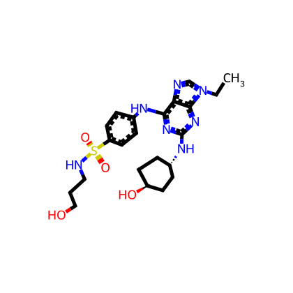 CCn1cnc2c(Nc3ccc(S(=O)(=O)NCCCO)cc3)nc(N[C@H]3CC[C@H](O)CC3)nc21